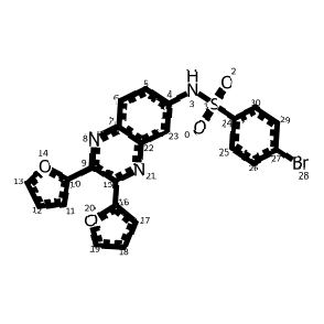 O=S(=O)(Nc1ccc2nc(-c3ccco3)c(-c3ccco3)nc2c1)c1ccc(Br)cc1